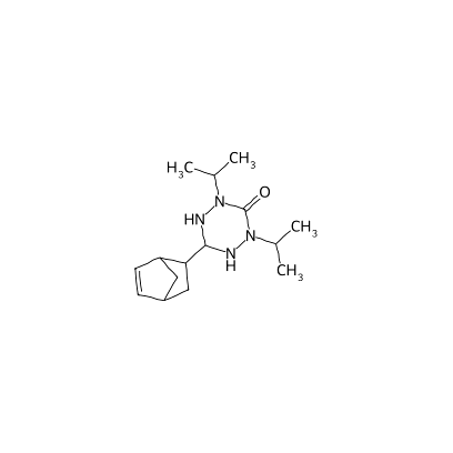 CC(C)N1NC(C2CC3C=CC2C3)NN(C(C)C)C1=O